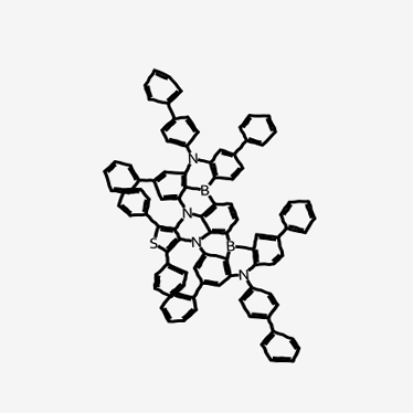 c1ccc(-c2ccc(N3c4ccc(-c5ccccc5)cc4B4c5ccc6c7c5N(c5cc(-c8ccccc8)cc3c54)c3c(-c4ccccc4)sc(-c4ccccc4)c3N7c3cc(-c4ccccc4)cc4c3B6c3ccc(-c5ccccc5)cc3N4c3ccc(-c4ccccc4)cc3)cc2)cc1